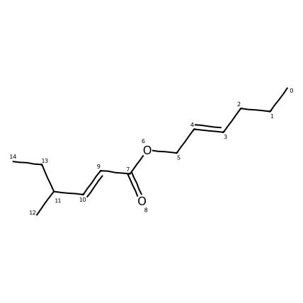 CCCC=CCOC(=O)C=CC(C)CC